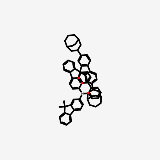 CC1(C)c2ccccc2-c2ccc(N(c3ccc4c(c3)C3(c5ccccc5-4)c4cc(C5CC6CCCC(CC6)C5)ccc4-c4ccc(C5CC6CCCC(CC6)C5)cc43)c3ccccc3-c3ccccc3)cc21